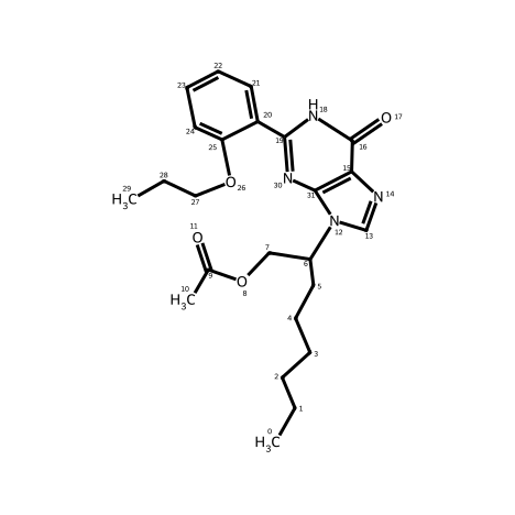 CCCCCCC(COC(C)=O)n1cnc2c(=O)[nH]c(-c3ccccc3OCCC)nc21